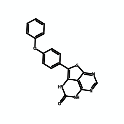 O=C1Nc2ncnc3sc(-c4ccc(Oc5ccccc5)cc4)c(c23)N1